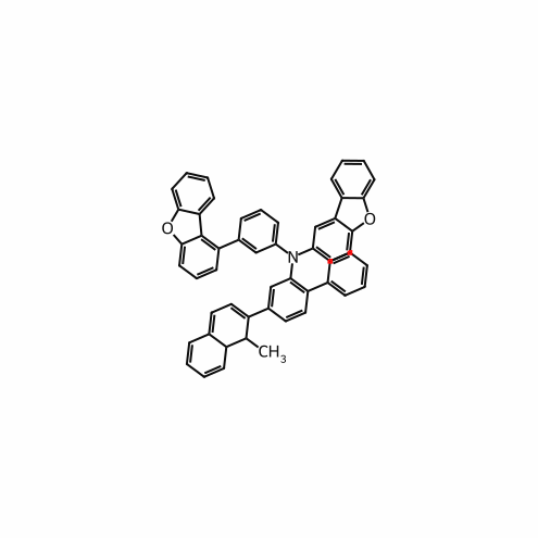 CC1C(c2ccc(-c3ccccc3)c(N(c3cccc(-c4cccc5oc6ccccc6c45)c3)c3ccc4oc5ccccc5c4c3)c2)=CC=C2C=CC=CC21